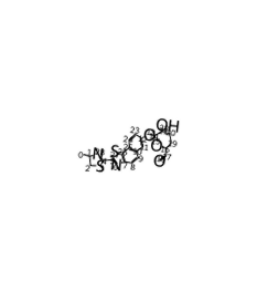 CC1CSC(c2nc3ccc4cc(OC5OC(C=O)CCC5O)ccc4c3s2)=N1